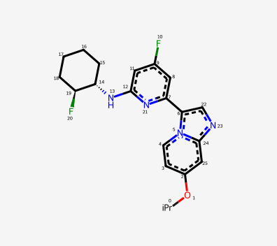 CC(C)Oc1ccn2c(-c3cc(F)cc(N[C@H]4CCCC[C@@H]4F)n3)cnc2c1